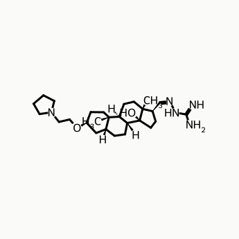 C[C@]12CC[C@H](OCCN3CCCC3)C[C@H]1CC[C@@H]1[C@@H]2CC[C@]2(C)[C@@H](/C=N\NC(=N)N)CC[C@]12O